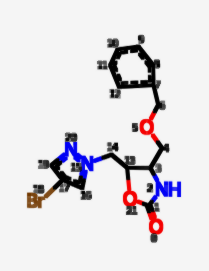 O=C1NC(COCc2ccccc2)C(Cn2cc(Br)cn2)O1